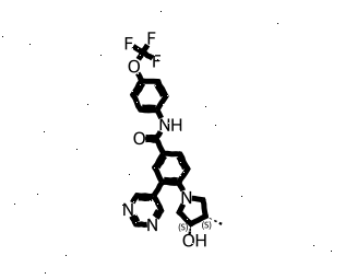 C[C@H]1CN(c2ccc(C(=O)Nc3ccc(OC(F)(F)F)cc3)cc2-c2cncnc2)C[C@H]1O